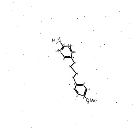 COc1ccc(CCCCc2cnc(N)nc2)cc1